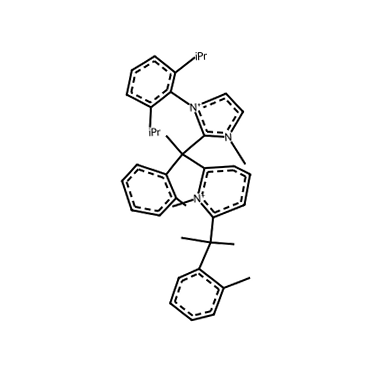 Cc1ccccc1C(C)(C)c1cccc(C(C)(c2ccccc2C)c2n(C)cc[n+]2-c2c(C(C)C)cccc2C(C)C)[n+]1C